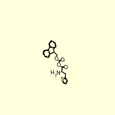 N[C@@H](Cc1cccs1)C(=O)OC(=O)OCC1c2ccccc2-c2ccccc21